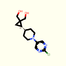 OCC1(CO)C[C@H]1C1CCN(c2cnc(Cl)nc2)CC1